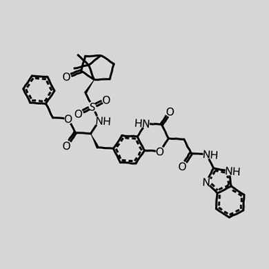 CC1(C)C2CC[C@]1(CS(=O)(=O)N[C@@H](Cc1ccc3c(c1)NC(=O)C(CC(=O)Nc1nc4ccccc4[nH]1)O3)C(=O)OCc1ccccc1)C(=O)C2